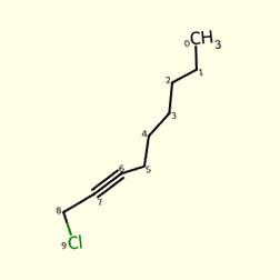 CCCCCCC#CCCl